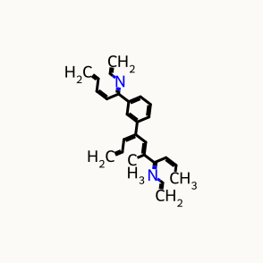 C=C/C=C\C(=N/C=C)c1cccc(C(/C=C(C)/C(/C=C\C)=N/C=C)=C/C=C)c1